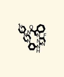 CN1CCC(N2CCN(c3cccc(Nc4ncc(F)c(N5C=C(C(N)=O)C6C=CC=CC=C65)n4)c3)CC2)CC1